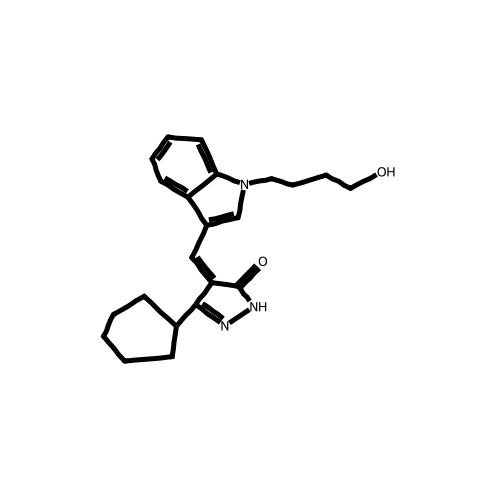 O=C1NN=C(C2CCCCC2)C1=Cc1cn(CCCCO)c2ccccc12